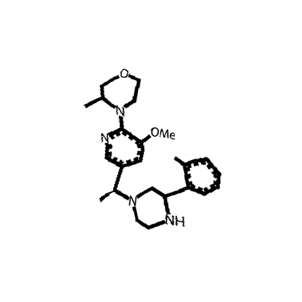 COc1cc([C@H](C)N2CCNC(c3ccccc3C)C2)cnc1N1CCOCC1C